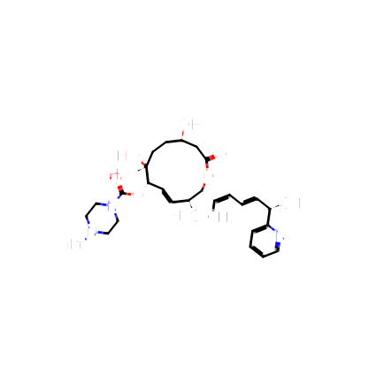 C/C(=C\C=C\[C@@H](C)c1ccccn1)[C@H]1OC(=O)C[C@H](O)CC[C@@](C)(O)[C@@H](OC(=O)N2CCN(C(C)C)CC2)/C=C/[C@@H]1C